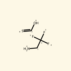 NCC(F)(F)F.OC=S